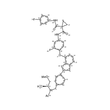 COC[C@H](C)N(Cc1ccc(-c2cc3nccc(Oc4ccc(NC(=O)C5(C(=O)Nc6ccc(F)cc6)CC5)cc4F)c3s2)cc1)C(C)=O